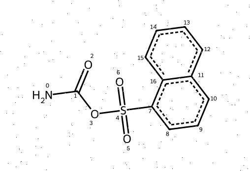 NC(=O)OS(=O)(=O)c1cccc2ccccc12